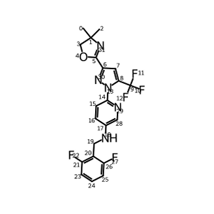 CC1(C)COC(c2cc(C(F)(F)F)n(-c3ccc(NCc4c(F)cccc4F)cn3)n2)=N1